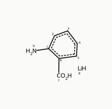 Nc1ccccc1C(=O)O.[LiH]